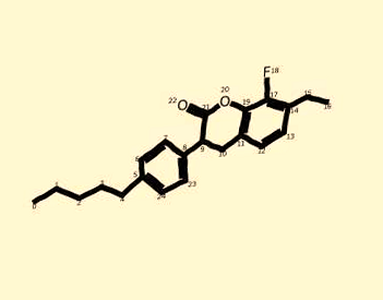 CCCCCc1ccc(C2Cc3ccc(CC)c(F)c3OC2=O)cc1